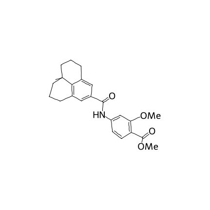 COC(=O)c1ccc(NC(=O)c2cc3c4c(c2)CCCC4(C)CCC3)cc1OC